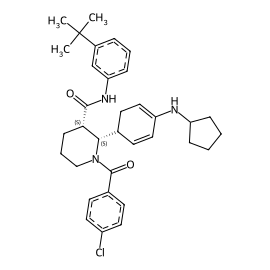 CC(C)(C)c1cccc(NC(=O)[C@H]2CCCN(C(=O)c3ccc(Cl)cc3)[C@H]2C2C=CC(NC3CCCC3)=CC2)c1